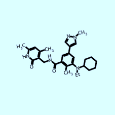 CCN(c1cc(-c2cnn(C)c2)cc(C(=O)NCc2c(C)cc(C)[nH]c2=O)c1C)C1CCCCC1